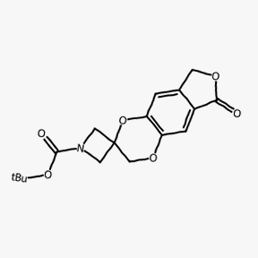 CC(C)(C)OC(=O)N1CC2(COc3cc4c(cc3O2)COC4=O)C1